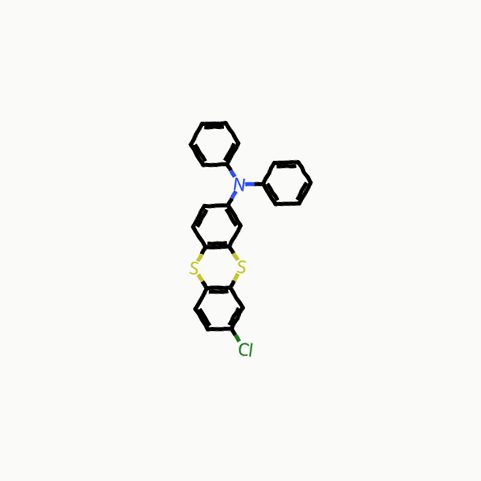 Clc1ccc2c(c1)Sc1cc(N(c3ccccc3)c3ccccc3)ccc1S2